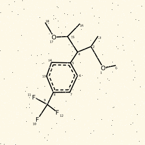 COC(C)C(c1ccc(C(F)(F)F)cc1)C(C)OC